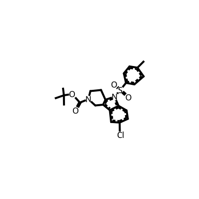 Cc1ccc(S(=O)(=O)n2c3c(c4cc(Cl)ccc42)CN(C(=O)OC(C)(C)C)CC3)cc1